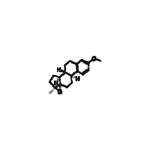 COc1ccc2c(c1)CC[C@@H]1[C@@H]2CCC23O[C@@]2(C)CC[C@@H]13